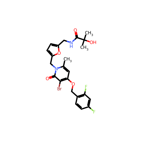 Cc1cc(OCc2ccc(F)cc2F)c(Br)c(=O)n1Cc1ccc(CNC(=O)C(C)(C)O)o1